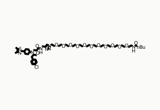 CCCCC(=O)NCCOCCOCCOCCOCCOCCOCCOCCOCCOCCOCCOCCn1cc(CNC(=O)C2CN(C3CCC(c4nc(C)c(C)s4)CC3)C(Cc3ccc(Cl)cc3)CO2)nn1